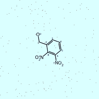 [O]Cc1cccc([N+](=O)[O-])c1[N+](=O)[O-]